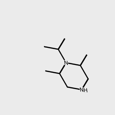 CC(C)N1C(C)CNCC1C